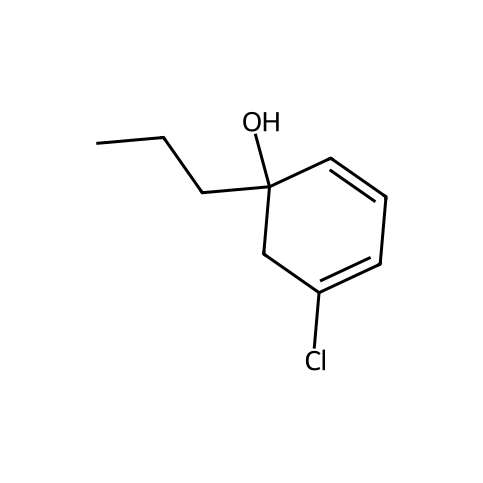 CCCC1(O)C=CC=C(Cl)C1